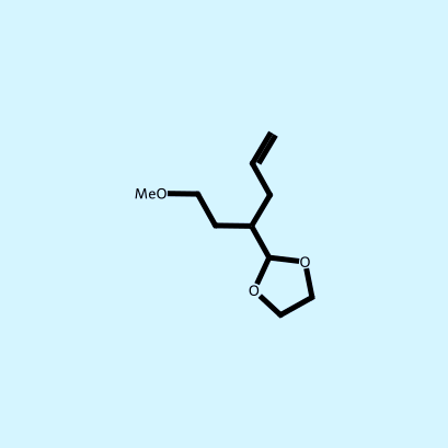 C=CCC(CCOC)C1OCCO1